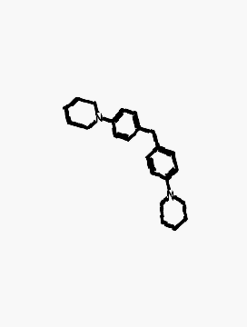 c1cc(N2CCCCC2)ccc1Cc1ccc(N2CCCCC2)cc1